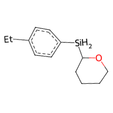 CCc1ccc([SiH2]C2CCCCO2)cc1